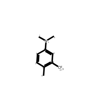 Cc1ccc(N(C)C)cc1C(F)(F)F